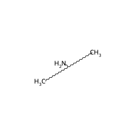 CCCCCCCCCCCCCCCCC(CCN)CCCCCCCCCCCCCCCC